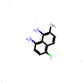 Cc1ccc2c(Cl)ccc(N)c2c1N